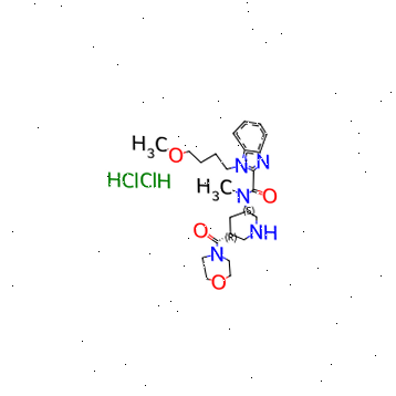 COCCCCn1c(C(=O)N(C)[C@@H]2CNC[C@H](C(=O)N3CCOCC3)C2)nc2ccccc21.Cl.Cl